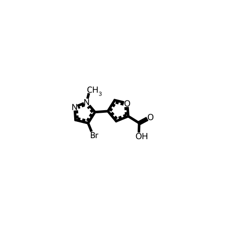 Cn1ncc(Br)c1-c1coc(C(=O)O)c1